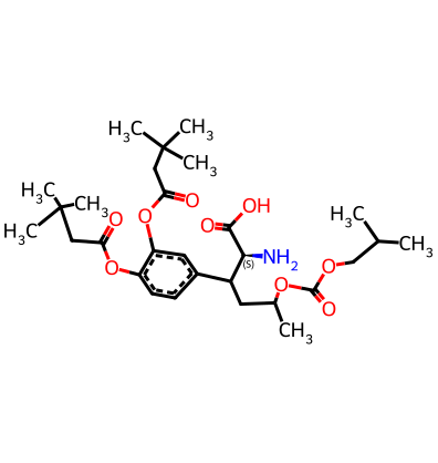 CC(C)COC(=O)OC(C)CC(c1ccc(OC(=O)CC(C)(C)C)c(OC(=O)CC(C)(C)C)c1)[C@H](N)C(=O)O